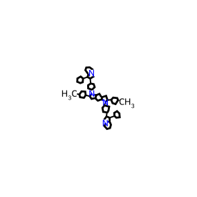 Cc1ccc(-c2cc3cc4c(cc(-c5ccc(C)cc5)n4-c4ccc(-c5cn6ccccc6c5-c5ccccc5)cc4)cc3n2-c2ccc(-c3cn4ccccc4c3-c3ccccc3)cc2)cc1